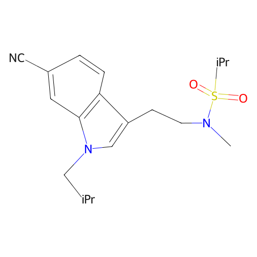 CC(C)Cn1cc(CCN(C)S(=O)(=O)C(C)C)c2ccc(C#N)cc21